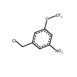 O=[N+]([O-])c1cc(CCl)cc(OC(F)(F)F)c1